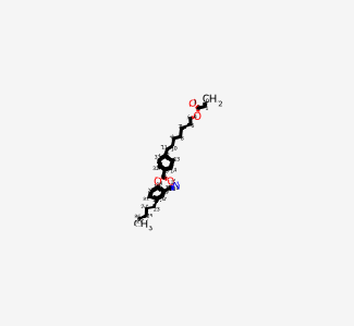 C=CC(=O)OCCCCCCCc1ccc(C(=O)Oc2ccc(CCCCC)cc2C#N)cc1